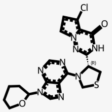 O=c1[nH]c([C@@H]2CSCN2c2ncnc3c2ncn3C2CCCCO2)nn2ccc(Cl)c12